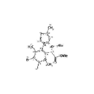 COC(=O)[C@@H](OC(C)(C)C)c1c(C)c(I)c(Br)c(C)c1-c1ccc(C)cc1